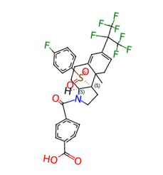 CC12CC=C(C(F)(C(F)(F)F)C(F)(F)F)C=C1CC[C@@H]1N(C(=O)c3ccc(C(=O)O)cc3)CC[C@@]12S(=O)(=O)c1ccc(F)cc1